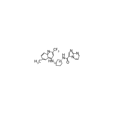 Cc1ccc2nc(C(F)(F)F)cc(N[C@H]3CCC[C@@H](NC(=O)c4cnc5ncccn45)C3)c2c1